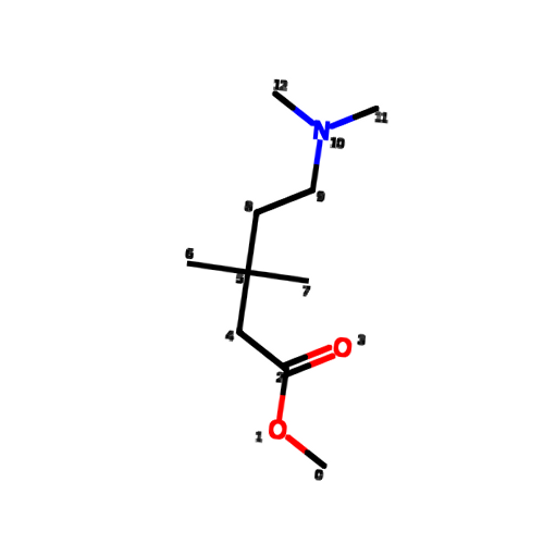 COC(=O)CC(C)(C)CCN(C)C